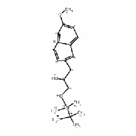 COc1ccc2cc(CC(O)CO[Si](C)(C)C(C)(C)C)ccc2c1